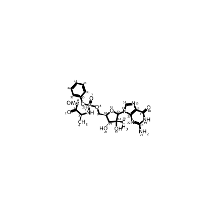 COC(=O)[C@H](C)NP(=O)(OC[C@H]1OC(n2cnc3c(=O)[nH]c(N)nc32)[C@](C)(O)[C@@H]1O)Oc1ccccc1